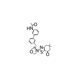 CC(=O)Nc1cccc(-c2cccc(C[C@H]3COCCN3c3nc4c(s3)C(=O)CC(C)(C)C4)c2)c1